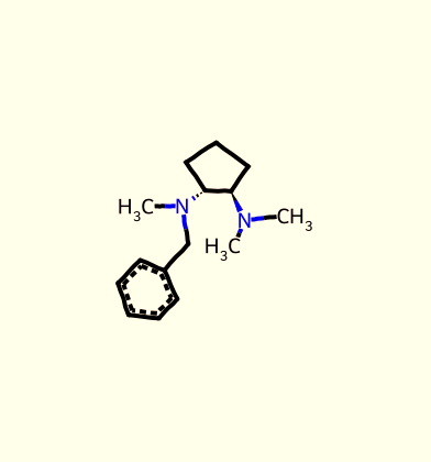 CN(C)[C@@H]1CCC[C@H]1N(C)Cc1ccccc1